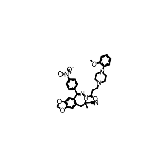 COc1ccccc1N1CCN(CCC(=O)N2N=C(c3ccc([N+](=O)[O-])cc3)c3cc4c(cc3CC2(C)C#N)OCO4)CC1